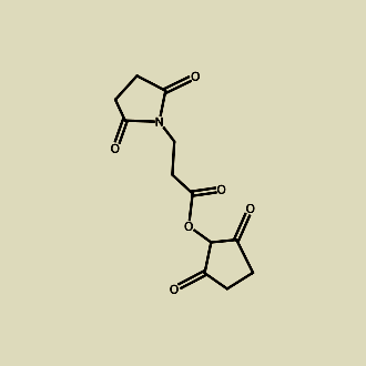 O=C(CCN1C(=O)CCC1=O)OC1C(=O)CCC1=O